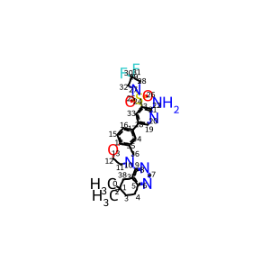 CC1(C)CCc2ncnc(N3CCOc4ccc(-c5cnc(N)c(S(=O)(=O)N6CC(F)(F)C6)c5)cc4C3)c2C1